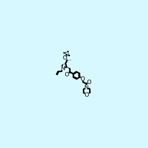 C=CCN1C[C@H]([C@@H](C)O[Si](C)(C)C)[C@H]1CC(=O)c1ccc(OCC(=O)N2CCOCC2)cc1